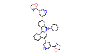 c1ccc(-n2c3cc(-c4cncc(C5=NCCO5)c4)ccc3c3c4ccccc4c(-c4cncc(C5=NCCO5)c4)cc32)cc1